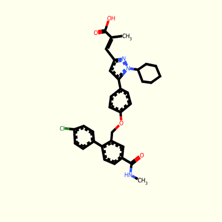 CNC(=O)c1ccc(-c2ccc(Cl)cc2)c(COc2ccc(-c3cc(/C=C(\C)C(=O)O)nn3C3CCCCC3)cc2)c1